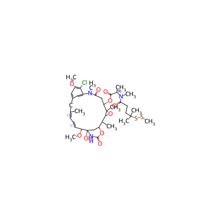 COc1cc2cc(c1Cl)N(C)C(=O)CC(OC(=O)[C@@H](C)N(C)C(=O)CCC(C)(C)SSC)C1(C)OC1C(C)C1CC(O)(NC(=O)O1)C(OC)/C=C/C=C(\C)C2